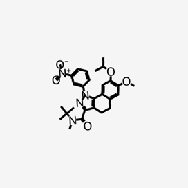 COc1cc2c(cc1OC(C)C)-c1c(c(C(=O)N(C)C(C)(C)C)nn1-c1cccc([N+](=O)[O-])c1)CC2